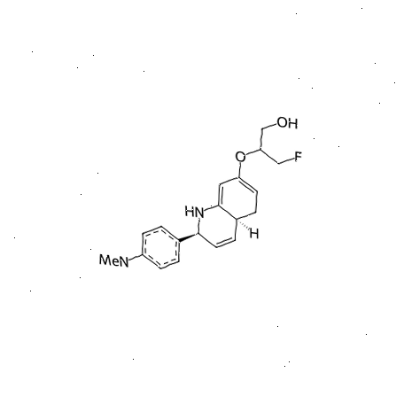 CNc1ccc([C@@H]2C=C[C@@H]3CC=C(OC(CO)CF)C=C3N2)cc1